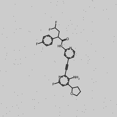 Nc1c(C2CCCO2)cc(F)nc1C#Cc1ccnc(NC(=O)C(CC(F)F)c2ccc(F)cc2)c1